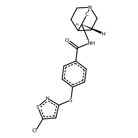 O=C(N[C@H]1CN2CCC1CC2)c1ccc(Sc2cc(Cl)sn2)cc1